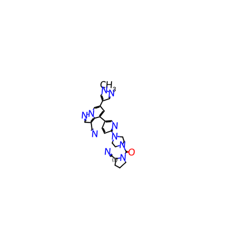 Cn1cc(-c2cc(-c3ccc(N4CCN(C(=O)N5CCC[C@H]5C#N)CC4)nc3)c3c(C#N)cnn3c2)cn1